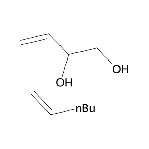 C=CC(O)CO.C=CCCCC